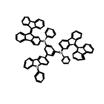 c1ccc(N(c2cc(-c3ccc4c(c3)c3ccccc3n4-c3ccccc3)cc(N(c3ccccc3)c3ccc4c(c3)C(=C3c5ccccc5-c5ccccc53)c3ccccc3-4)c2)c2ccc3c(c2)C(=C2c4ccccc4-c4ccccc42)c2ccccc2-3)cc1